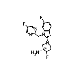 N[C@@H]1CN(c2nc3ccc(F)cc3n2Cc2ncc(F)cn2)CCC1F